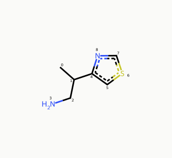 CC(CN)c1cscn1